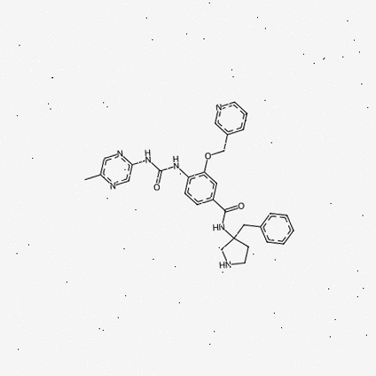 Cc1cnc(NC(=O)Nc2ccc(C(=O)NC3(Cc4ccccc4)CCNC3)cc2OCc2cccnc2)cn1